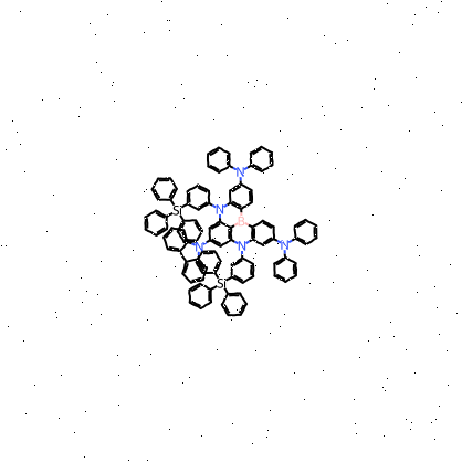 c1ccc(N(c2ccccc2)c2ccc3c(c2)N(c2cccc([Si](c4ccccc4)(c4ccccc4)c4ccccc4)c2)c2cc(-n4c5ccccc5c5ccccc54)cc4c2B3c2ccc(N(c3ccccc3)c3ccccc3)cc2N4c2cccc([Si](c3ccccc3)(c3ccccc3)c3ccccc3)c2)cc1